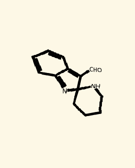 O=CC1=c2ccccc2=NC12CCCCN2